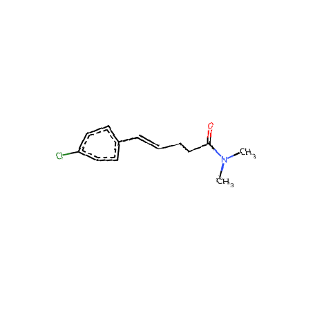 CN(C)C(=O)CC/C=C/c1ccc(Cl)cc1